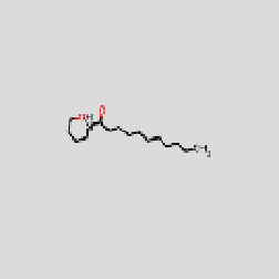 CCCCCCCCCCC(=O)[SiH]1CCCCO1